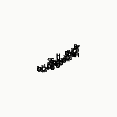 COc1ccc(COC(=O)C2N3C(=O)C(NC(=O)COc4ccc5c(c4)OCc4c-5[nH]c5ccc(Br)cc45)C3SC2(C)C)cc1